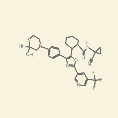 N#CC1(NC(=O)C2CCCCC2c2oc(-c3cncc(C(F)(F)F)c3)nc2-c2ccc(N3CCSC(O)(O)C3)cc2)CC1